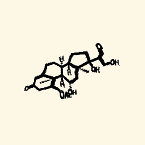 CC(=O)OC1CC(=O)C=C2CC[C@@H]3[C@H]([C@@H](O)C[C@@]4(C)[C@H]3CC[C@]4(O)C(=O)CO)[C@]21C